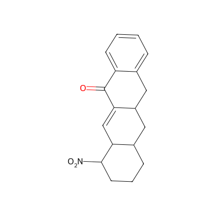 O=C1C2=CC3C(CCCC3[N+](=O)[O-])CC2Cc2ccccc21